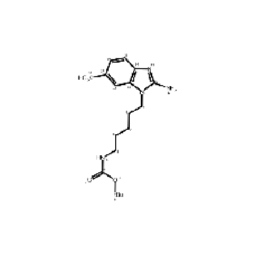 CC(C)(C)OC(=O)NCCCCCn1c(N)nc2ccc(C(=O)O)cc21